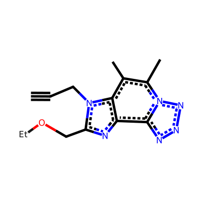 C#CCn1c(COCC)nc2c1c(C)c(C)n1nnnc21